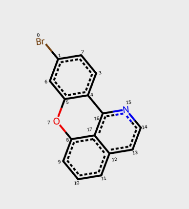 Brc1ccc2c(c1)Oc1cccc3ccnc-2c13